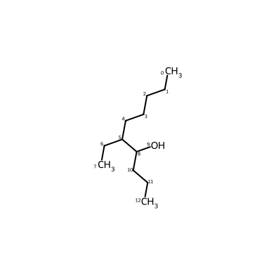 CCCCCC(CC)C(O)CCC